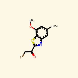 CCCCOc1cc(OC)cc2nc(C(=O)CBr)sc12